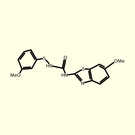 COc1cccc(SNC(=O)Nc2nc3ccc(OC)cc3s2)c1